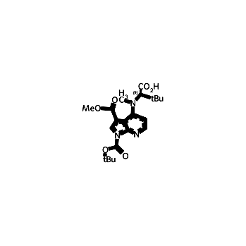 COC(=O)c1cn(C(=O)OC(C)(C)C)c2nccc(N(C)[C@@H](C(=O)O)C(C)(C)C)c12